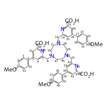 COc1ccc(-c2cc(CN3CCN(Cc4cc(-c5ccc(OC)cc5)cc(C(=O)O)n4)CCN(Cc4cc(-c5ccc(OC)cc5)cc(C(=O)O)n4)CC3)nc(C(=O)O)c2)cc1